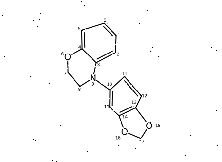 [c]1ccc2c(c1)OCCN2c1ccc2c(c1)OCO2